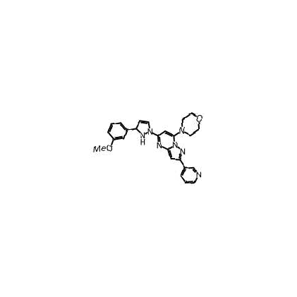 COc1cccc(C2C=CN(c3cc(N4CCOCC4)n4nc(-c5cccnc5)cc4n3)N2)c1